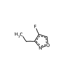 CCc1nocc1F